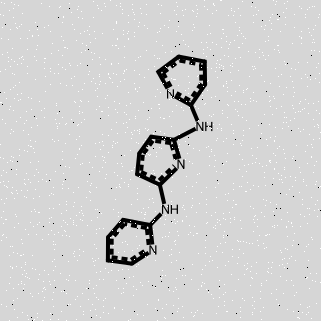 c1ccc(Nc2cccc(Nc3ccccn3)n2)nc1